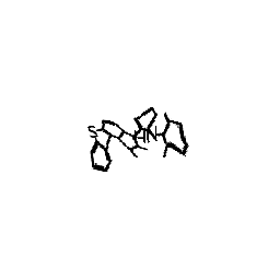 Cc1cccc(C)c1Nc1ccccc1C1C(C)C(C)C2c3c(sc4ccccc34)C=CC12